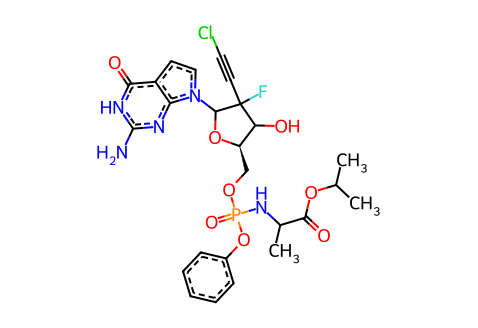 CC(C)OC(=O)C(C)NP(=O)(OC[C@H]1OC(n2ccc3c(=O)[nH]c(N)nc32)C(F)(C#CCl)C1O)Oc1ccccc1